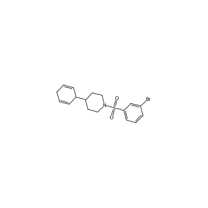 O=S(=O)(c1cccc(Br)c1)N1CCC(C2C=CCC=C2)CC1